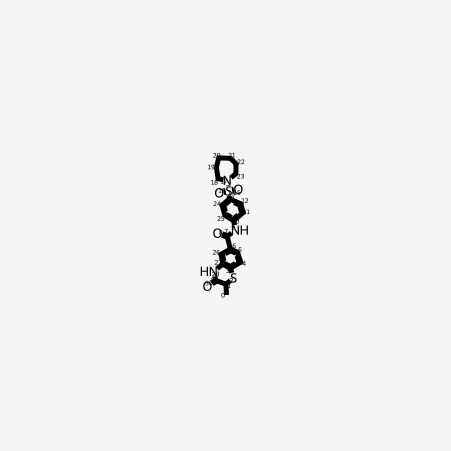 CC1Sc2ccc(C(=O)Nc3ccc(S(=O)(=O)N4CCCCCC4)cc3)cc2NC1=O